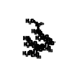 CCC[CH2][Sn+2][CH2]CCC.COC(C)CC/C(C(=O)OC(=O)[C@@H](N)Cc1c[nH]cn1)=C(\C)C(=O)[O-].COC(C)CC/C(C(=O)OC(=O)[C@@H](N)Cc1c[nH]cn1)=C(\C)C(=O)[O-]